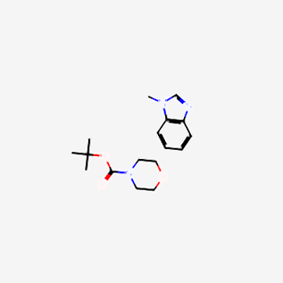 C[C@@H]1CN(C(=O)OC(C)(C)C)C[C@H](c2ccc3ncn(C)c3c2)O1